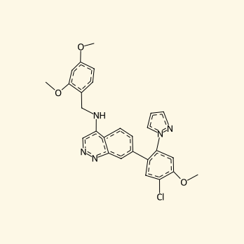 COc1ccc(CNc2cnnc3cc(-c4cc(Cl)c(OC)cc4-n4cccn4)ccc23)c(OC)c1